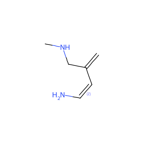 C=C(/C=C\N)CNC